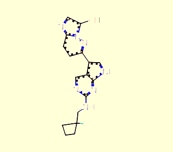 Cc1cnc2ccc(-c3c[nH]c4nc(NCC5(F)CCC5)ncc34)nn12